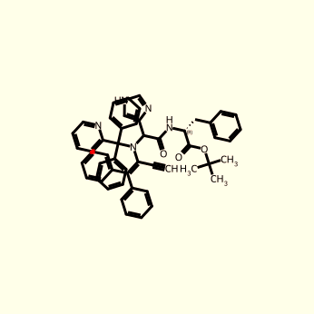 C#CC(=C(c1ccccc1)c1ccccc1)N(C(C(=O)N[C@H](Cc1ccccc1)C(=O)OC(C)(C)C)c1c[nH]cn1)C(c1ccccc1)(c1ccccc1)c1ccccn1